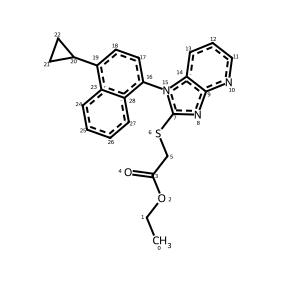 CCOC(=O)CSc1nc2ncccc2n1-c1ccc(C2CC2)c2ccccc12